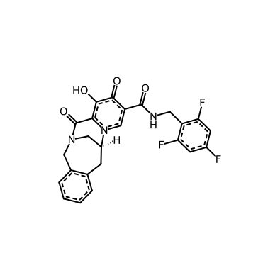 O=C(NCc1c(F)cc(F)cc1F)c1cn2c(c(O)c1=O)C(=O)N1Cc3ccccc3C[C@H]2C1